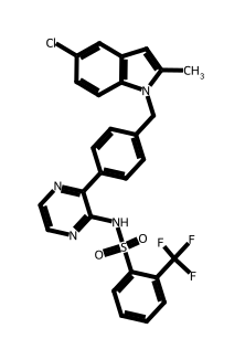 Cc1cc2cc(Cl)ccc2n1Cc1ccc(-c2nccnc2NS(=O)(=O)c2ccccc2C(F)(F)F)cc1